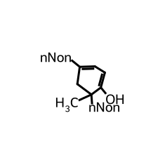 CCCCCCCCCC1=CC=C(O)C(C)(CCCCCCCCC)C1